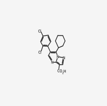 O=C(O)c1cnn2c(C3CCCCC3)c(-c3ccc(Cl)cc3Cl)cnc12